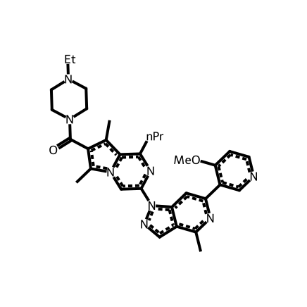 CCCc1nc(-n2ncc3c(C)nc(-c4cnccc4OC)cc32)cn2c(C)c(C(=O)N3CCN(CC)CC3)c(C)c12